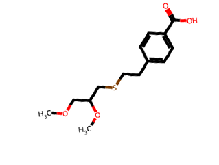 COCC(CSCCc1ccc(C(=O)O)cc1)OC